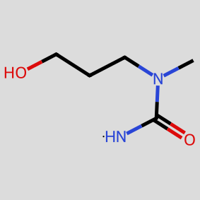 CN(CCCO)C([NH])=O